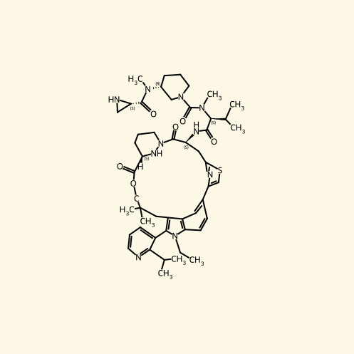 CCn1c(-c2cccnc2C(C)C)c2c3cc(ccc31)-c1csc(n1)C[C@H](NC(=O)[C@H](C(C)C)N(C)C(=O)N1CCC[C@@H](N(C)C(=O)[C@@H]3CN3)C1)C(=O)N1CCC[C@H](N1)C(=O)OCC(C)(C)C2